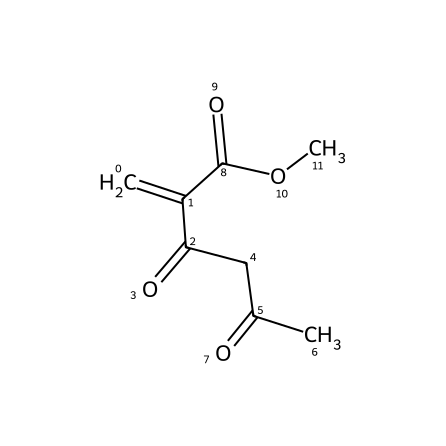 C=C(C(=O)CC(C)=O)C(=O)OC